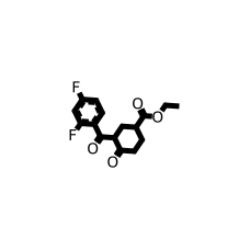 CCOC(=O)C1CCC(=O)C(C(=O)c2ccc(F)cc2F)C1